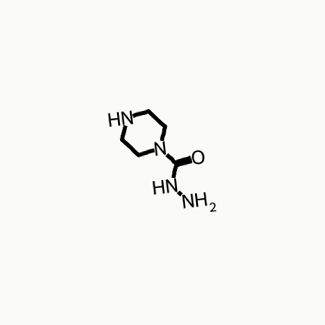 NNC(=O)N1CCNCC1